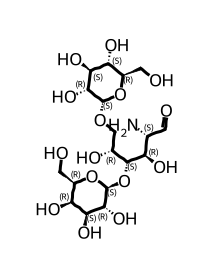 N[C@H](C=O)[C@@H](O)[C@H](O[C@@H]1O[C@H](CO)[C@H](O)[C@H](O)[C@H]1O)[C@H](O)CO[C@H]1O[C@H](CO)[C@@H](O)[C@H](O)[C@H]1O